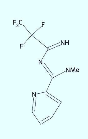 CN/C(=N\C(=N)C(F)(F)C(F)(F)F)c1ccccn1